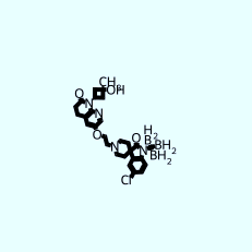 BC(B)(B)N1C(=O)C2(CCN(CCOc3cnc4c(c3)CCC(=O)N4[C@H]3C[C@@](C)(O)C3)CC2)c2cc(Cl)ccc21